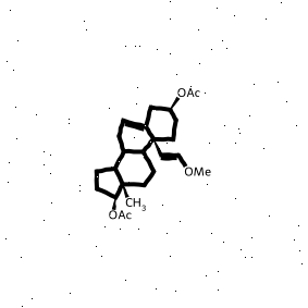 COC=C[C@]12CC[C@H](OC(C)=O)CC1=CCC1C2CC[C@@]2(C)C1CC[C@@H]2OC(C)=O